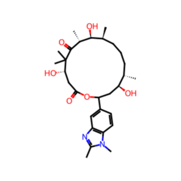 Cc1nc2cc(C3C[C@H](O)[C@@H](C)CCC[C@H](C)[C@H](O)[C@@H](C)C(=O)C(C)(C)[C@@H](O)CC(=O)O3)ccc2n1C